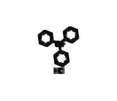 Cl.c1cc[c]([Ge]([c]2ccccc2)[c]2ccccc2)cc1